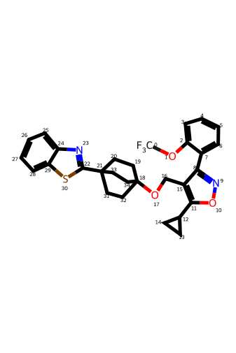 FC(F)(F)Oc1ccccc1-c1noc(C2CC2)c1COC12CCC(c3nc4ccccc4s3)(CC1)CC2